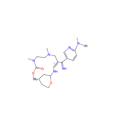 CC(C)N(C)c1ccc(C(=N)/C(=C\NC2CCCCO2)CN(C)CCN(C)C(=O)OC(C)(C)C)cn1